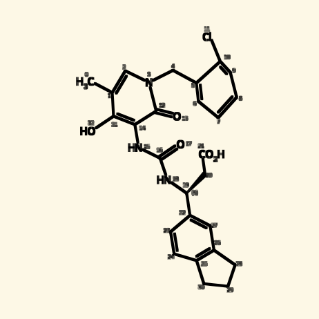 Cc1cn(Cc2ccccc2Cl)c(=O)c(NC(=O)N[C@@H](CC(=O)O)c2ccc3c(c2)CCC3)c1O